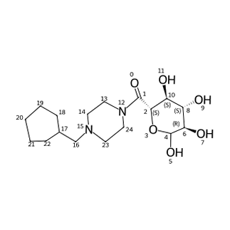 O=C([C@H]1OC(O)[C@H](O)[C@@H](O)[C@@H]1O)N1CCN(CC2CCCCC2)CC1